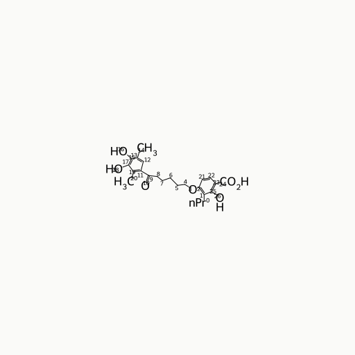 CCCc1c(OCCCCCC(=O)c2cc(C)c(O)c(O)c2C)ccc(C(=O)O)c1O